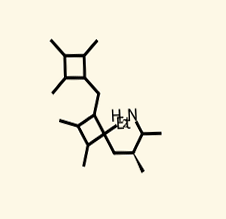 CCC1(C[C@H](C)C(C)N)C(C)C(C)C1CC1C(C)C(C)C1C